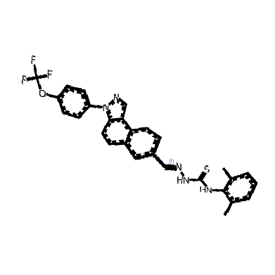 Cc1cccc(C)c1NC(=S)N/N=C/c1ccc2c(ccc3c2cnn3-c2ccc(OC(F)(F)F)cc2)c1